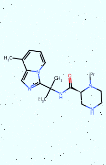 Cc1cccn2c(C(C)(C)NC(=O)[C@@H]3CNCCN3C(C)C)ncc12